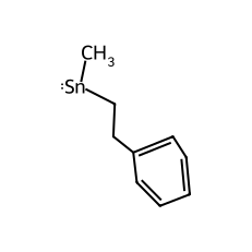 [CH3][Sn][CH2]Cc1ccccc1